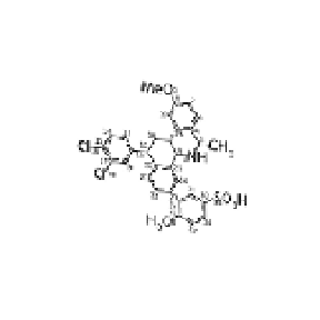 COc1ccc([C@H](C)NC2CCC(c3ccc(Cl)c(Cl)c3)c3ccccc32)cc1.Cc1ccc(S(=O)(=O)O)cc1